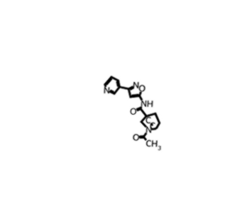 CC(=O)N1CC2(C(=O)Nc3cc(-c4cccnc4)no3)CCC1CC2